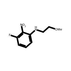 COCCNc1cccc(F)c1[N+](=O)[O-]